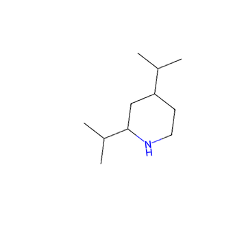 CC(C)C1CCNC(C(C)C)C1